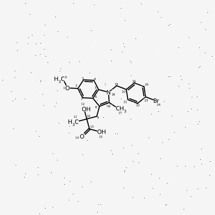 COc1ccc2c(c1)c(CC(C)(O)C(=O)O)c(C)n2Cc1ccc(Br)cc1